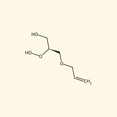 C=CCOC[C@H](CO)OO